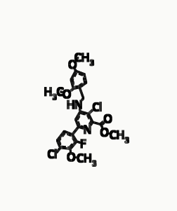 COC(=O)c1nc(-c2ccc(Cl)c(OC)c2F)cc(NCc2ccc(OC)cc2OC)c1Cl